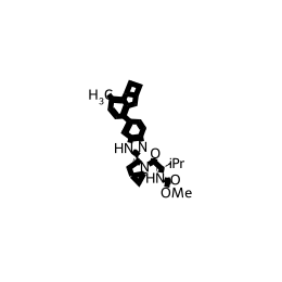 COC(=O)N[C@H](C(=O)N1C2CC2C[C@H]1c1nc2ccc(-c3ccc(C)c4c3CC3CCC43)cc2[nH]1)C(C)C